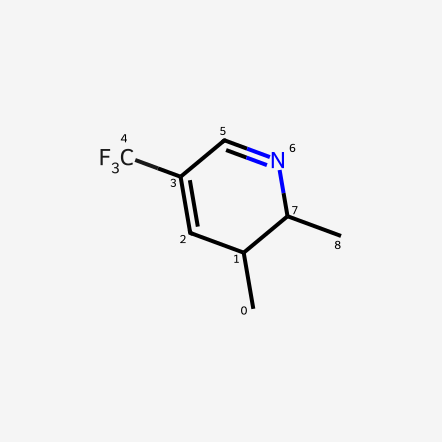 CC1C=C(C(F)(F)F)C=NC1C